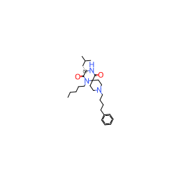 CCCCCN1C(=O)[C@H](CC(C)C)NC(=O)C12CCN(CCCCc1ccccc1)CC2